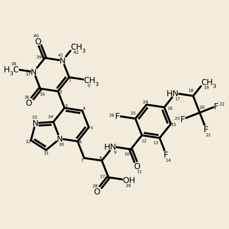 Cc1c(-c2ccc(CC(NC(=O)c3c(F)cc(NC(C)C(F)(F)F)cc3F)C(=O)O)n3ccnc23)c(=O)n(C)c(=O)n1C